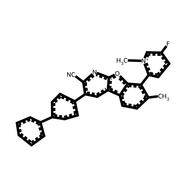 Cc1ccc2c(oc3nc(C#N)c(-c4ccc(-c5ccccc5)cc4)cc32)c1-c1ccc(F)c[n+]1C